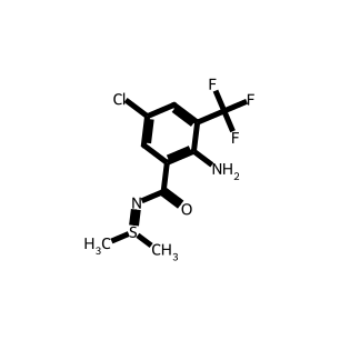 CS(C)=NC(=O)c1cc(Cl)cc(C(F)(F)F)c1N